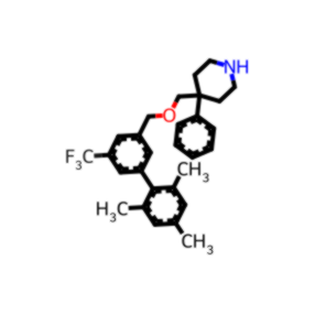 Cc1cc(C)c(-c2cc(COCC3(c4ccccc4)CCNCC3)cc(C(F)(F)F)c2)c(C)c1